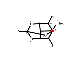 CCCCCCOC1C2OC3(C)OC(C2C)C(C)C1O3